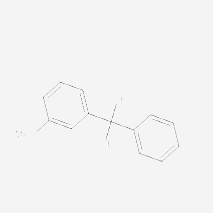 COc1cccc(C(Cl)(Cl)c2ccccc2)c1